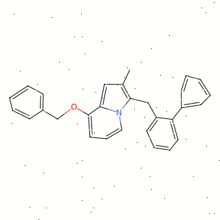 Cc1cc2c(OCc3ccccc3)cccn2c1Cc1ccccc1-c1ccccc1